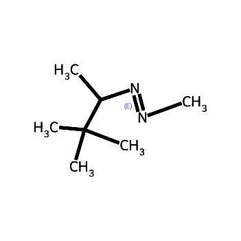 C/N=N/C(C)C(C)(C)C